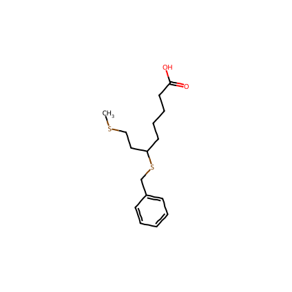 CSCCC(CCCCC(=O)O)SCc1ccccc1